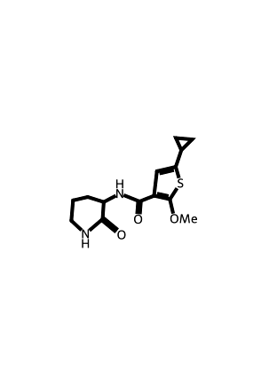 COc1sc(C2CC2)cc1C(=O)NC1CCCNC1=O